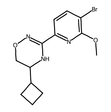 COc1nc(C2=NOCC(C3CCC3)N2)ccc1Br